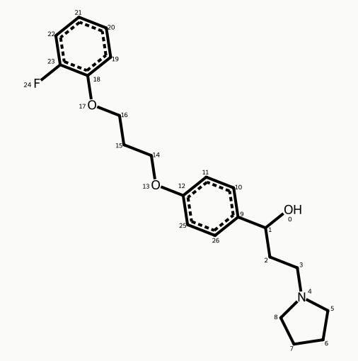 OC(CCN1CCCC1)c1ccc(OCCCOc2ccccc2F)cc1